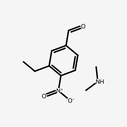 CCc1cc(C=O)ccc1[N+](=O)[O-].CNC